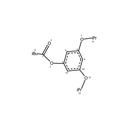 CCC(C)C(=O)Oc1cc(OC(C)C)cc(OC(C)C)c1